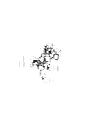 CCOCc1cc(OC)c(-c2ccc(C[C@H](NC(=O)c3c(Cl)cccc3Cl)C(=O)OC)cc2C(C)O)c(OC)c1